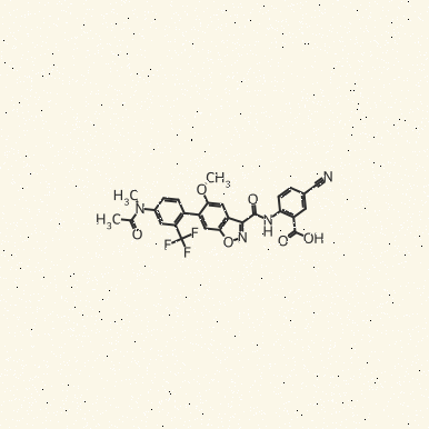 COc1cc2c(C(=O)Nc3ccc(C#N)cc3C(=O)O)noc2cc1-c1ccc(N(C)C(C)=O)cc1C(F)(F)F